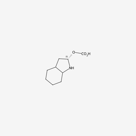 O=C(O)O[C@H]1CC2CCCCC2N1